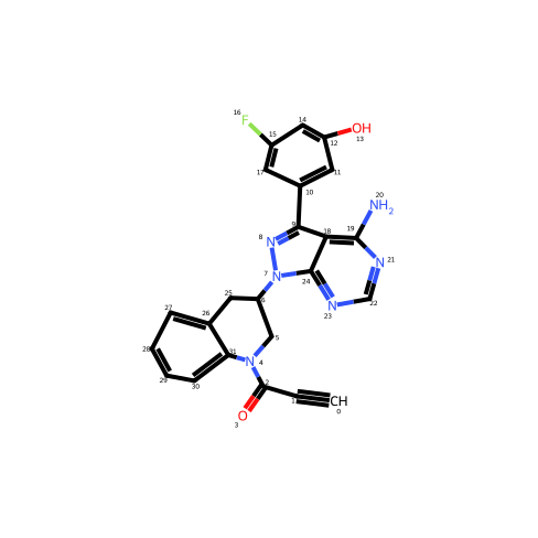 C#CC(=O)N1CC(n2nc(-c3cc(O)cc(F)c3)c3c(N)ncnc32)Cc2ccccc21